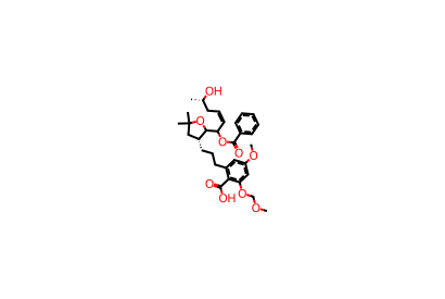 COCOc1cc(OC)cc(CCC[C@@H]2CC(C)(C)OC2C(/C=C\C[C@H](C)O)OC(=O)c2ccccc2)c1C(=O)O